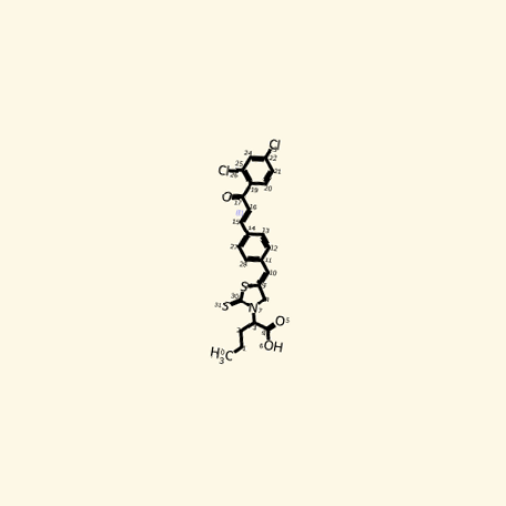 CCCC(C(=O)O)N1CC(=Cc2ccc(/C=C/C(=O)c3ccc(Cl)cc3Cl)cc2)SC1=S